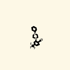 N#Cc1ccc(C(F)(F)F)cc1N1CCN(c2ccccc2)CC1